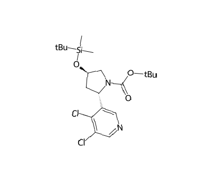 CC(C)(C)OC(=O)N1C[C@H](O[Si](C)(C)C(C)(C)C)C[C@H]1c1cncc(Cl)c1Cl